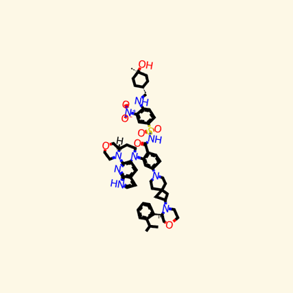 CC(C)c1ccccc1[C@@H]1COCCN1C1CC2(CCN(c3ccc(C(=O)NS(=O)(=O)c4ccc(NC[C@H]5CC[C@](C)(O)CC5)c([N+](=O)[O-])c4)c(N4CC[C@@H]5COCCN5c5nc6[nH]ccc6cc54)c3)CC2)C1